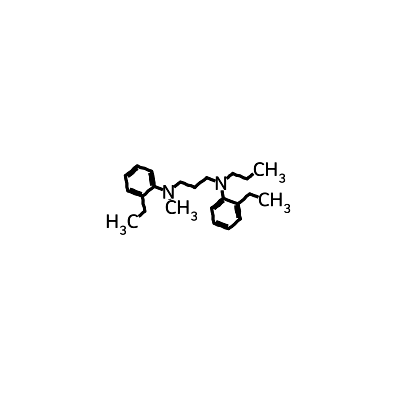 CCCN(CCCN(C)c1ccccc1CC)c1ccccc1CC